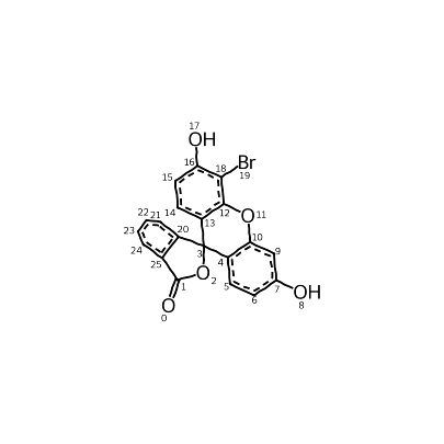 O=C1OC2(c3ccc(O)cc3Oc3c2ccc(O)c3Br)c2ccccc21